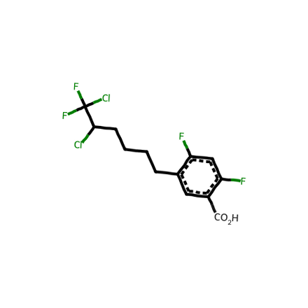 O=C(O)c1cc(CCCCC(Cl)C(F)(F)Cl)c(F)cc1F